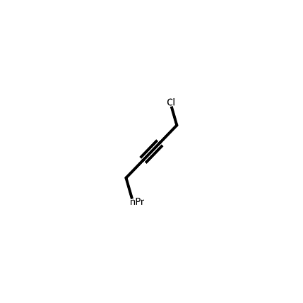 CCCCC#CCCl